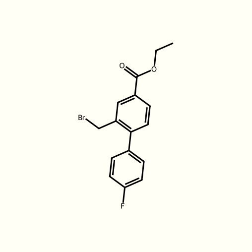 CCOC(=O)c1ccc(-c2ccc(F)cc2)c(CBr)c1